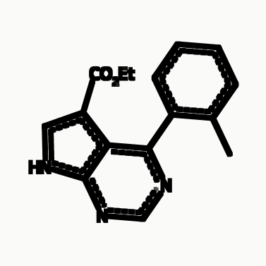 CCOC(=O)c1c[nH]c2ncnc(-c3ccccc3C)c12